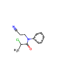 CC(Cl)C(=O)N(CCC#N)c1ccccc1